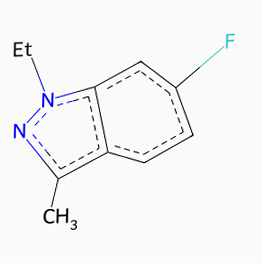 CCn1nc(C)c2ccc(F)cc21